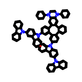 c1ccc(-n2ccn(-c3ccccc3)c3cc4c5ccc(-n6c7ccccc7c7cc(-n8c9ccccc9c9ccccc98)ccc76)cc5c5cc(-n6c7ccccc7c7cc(-n8c9ccccc9c9ccccc98)ccc76)ccc5c5ccccc5c4cc32)cc1